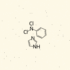 ClN(Cl)c1ccccc1.c1c[nH]cn1